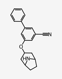 N#Cc1cc(OC2CC3CCC(C2)N3)cc(-c2ccccc2)c1